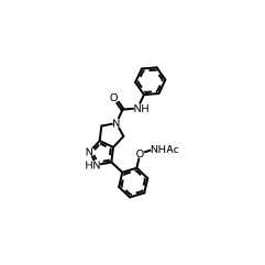 CC(=O)NOc1ccccc1-c1[nH]nc2c1CN(C(=O)Nc1ccccc1)C2